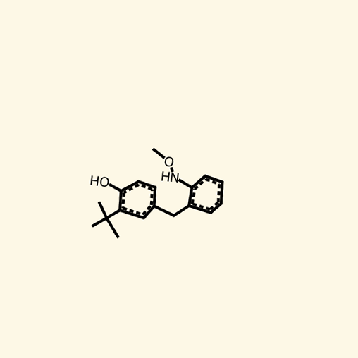 CONc1ccccc1Cc1ccc(O)c(C(C)(C)C)c1